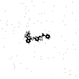 FC(F)(F)c1nnc2c3ccccc3c(OCc3cccc(CNC4C[C@@H]4c4ccccc4)n3)nn12